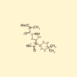 CON(C)C(=O)[C@H]1C[C@H](N(C(=O)C(C)(C)C)C2CCC(C)(C)CC2)CN1